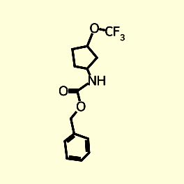 O=C(NC1CCC(OC(F)(F)F)C1)OCc1ccccc1